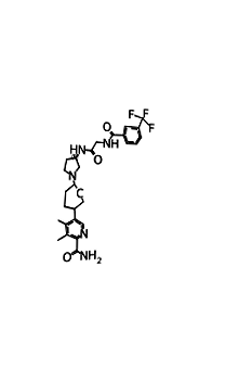 Cc1c(C2CCC(N3CC[C@@H](NC(=O)CNC(=O)c4cccc(C(F)(F)F)c4)C3)CC2)cnc(C(N)=O)c1C